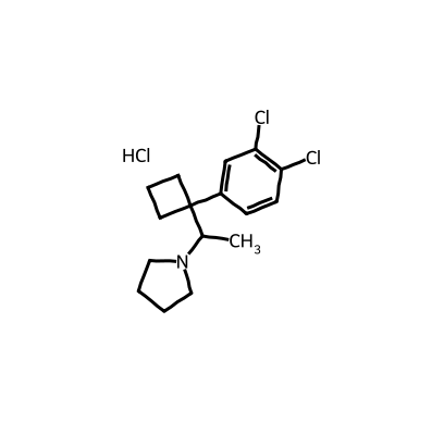 CC(N1CCCC1)C1(c2ccc(Cl)c(Cl)c2)CCC1.Cl